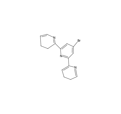 Brc1cc(C2=CCCC=N2)nc(C2=NC=CCC2)c1